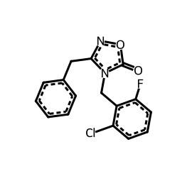 O=c1onc(Cc2ccccc2)n1Cc1c(F)cccc1Cl